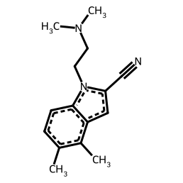 Cc1ccc2c(cc(C#N)n2CCN(C)C)c1C